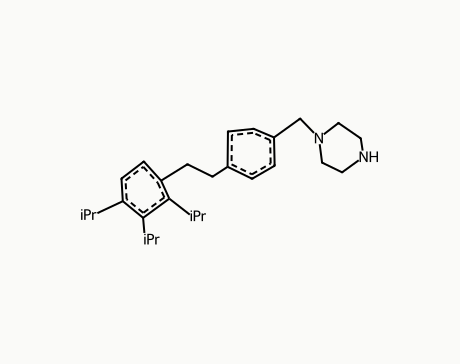 CC(C)c1ccc(CCc2ccc(CN3CCNCC3)cc2)c(C(C)C)c1C(C)C